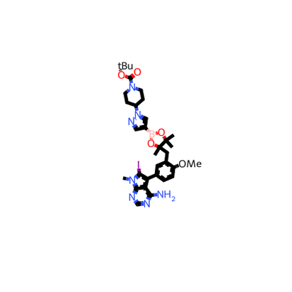 COc1ccc(-c2c(I)n(C)c3ncnc(N)c23)cc1CC1(C)OB(c2cnn(C3CCN(C(=O)OC(C)(C)C)CC3)c2)OC1(C)C